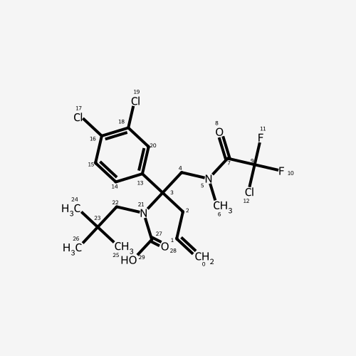 C=CCC(CN(C)C(=O)C(F)(F)Cl)(c1ccc(Cl)c(Cl)c1)N(CC(C)(C)C)C(=O)O